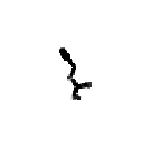 C#CCOC(=O)CCC